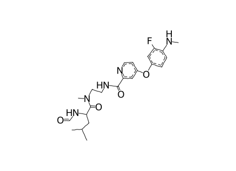 CNc1ccc(Oc2ccnc(C(=O)NCCN(C)C(=O)C(CC(C)C)NC=O)c2)cc1F